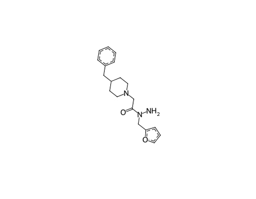 NN(Cc1ccco1)C(=O)CN1CCC(Cc2ccccc2)CC1